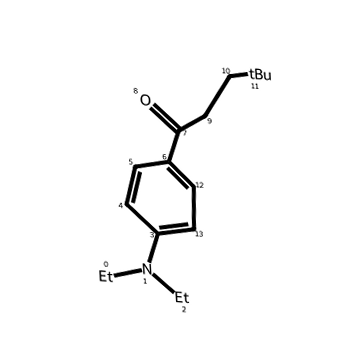 CCN(CC)c1ccc(C(=O)CCC(C)(C)C)cc1